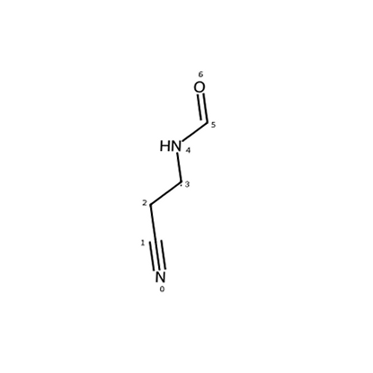 N#CC[CH]NC=O